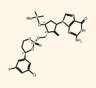 C=C1C(n2cnc3c(=O)[nH]c(N)nc32)C[C@H](O[Si](C)(C)C(C)(C)C)[C@H]1CO[P@]1(=O)OCC[C@H](c2cc(F)cc(Cl)c2)O1